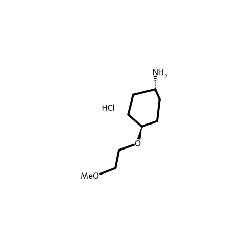 COCCO[C@H]1CC[C@H](N)CC1.Cl